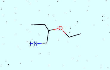 CCOC(CC)C[NH]